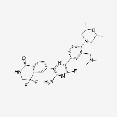 C[C@@H]1CN(c2ccc(-c3nc(-c4ccc5c(c4)C(F)(F)CNC5=O)c(N)nc3F)cc2CN(C)C)C[C@H](C)O1